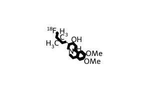 COc1cc2c(cc1OC)[C@@H]1C[C@H](O)[C@@H](CCC(C)(C)CC[18F])CN1CC2